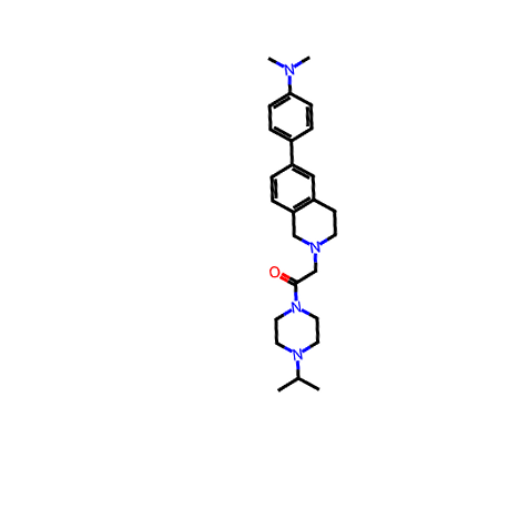 CC(C)N1CCN(C(=O)CN2CCc3cc(-c4ccc(N(C)C)cc4)ccc3C2)CC1